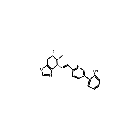 C[C@H]1[C@H](/C=C/c2ccc(-c3ccccc3C#N)cn2)c2ncoc2C[C@@H]1C